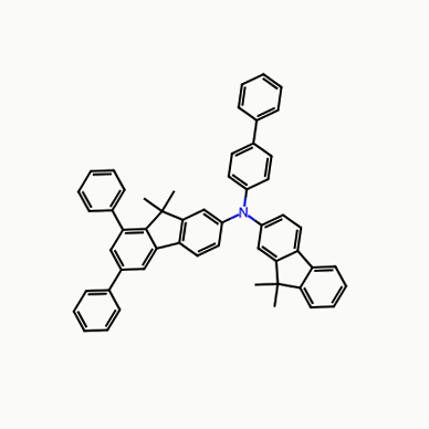 CC1(C)c2ccccc2-c2ccc(N(c3ccc(-c4ccccc4)cc3)c3ccc4c(c3)C(C)(C)c3c(-c5ccccc5)cc(-c5ccccc5)cc3-4)cc21